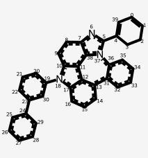 C1=CCCC(c2nc3ccc4c5c6c(cccc6n4-c4cccc(-c6ccccc6)c4)c4ccccc4n2c35)=C1